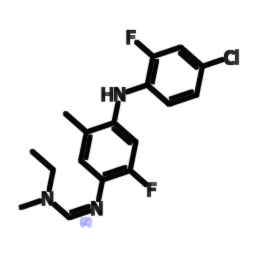 CCN(C)/C=N\c1cc(C)c(Nc2ccc(Cl)cc2F)cc1F